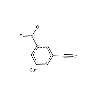 [C-]#Cc1cccc([N+](=O)[O-])c1.[Cu+]